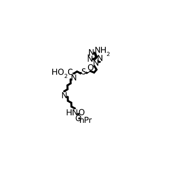 CCCOC(=O)NCCCCC/N=C\CCC/C=N/[C@@H](CCSC[C@@H]1CC[C@H](n2cnc3c(N)ncnc32)O1)C(=O)O